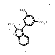 O=Cc1oc2ccccc2c1-c1cc(C(=O)O)cc(C(=O)O)c1